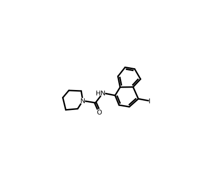 O=C(Nc1ccc(I)c2ccccc12)N1CCCCC1